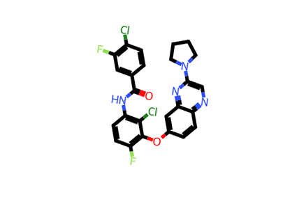 O=C(Nc1ccc(F)c(Oc2ccc3ncc(N4CCCC4)nc3c2)c1Cl)c1ccc(Cl)c(F)c1